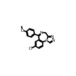 COc1ccc(C2=NCc3nncn3-c3ccc(Cl)cc32)cc1